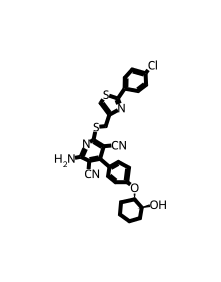 N#Cc1c(N)nc(SCc2csc(-c3ccc(Cl)cc3)n2)c(C#N)c1-c1ccc(O[C@H]2CCCC[C@@H]2O)cc1